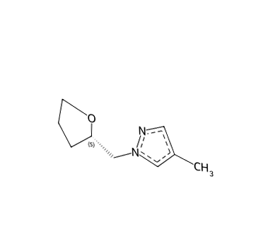 Cc1cnn(C[C@@H]2CCCO2)c1